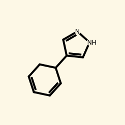 C1=CCC(c2cn[nH]c2)C=C1